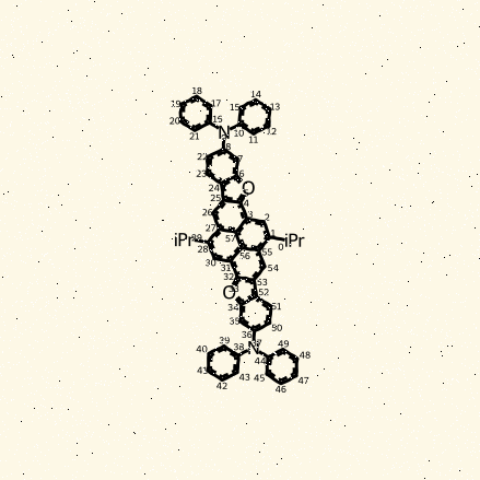 CC(C)c1cc2c3oc4cc(N(c5ccccc5)c5ccccc5)ccc4c3cc3c(C(C)C)cc4c5oc6cc(N(c7ccccc7)c7ccccc7)ccc6c5cc1c4c32